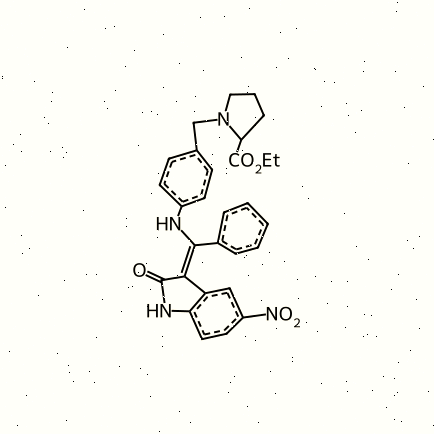 CCOC(=O)C1CCCN1Cc1ccc(N/C(=C2\C(=O)Nc3ccc([N+](=O)[O-])cc32)c2ccccc2)cc1